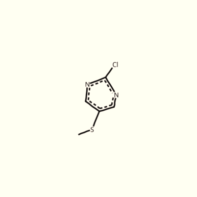 CSc1cnc(Cl)nc1